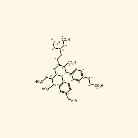 CCCOc1ccc(CC(CN(CCN(CC(=O)O)CC(=O)O)C(Cc2ccc(OCC(=O)O)cc2)C(=O)O)N(CC(=O)O)CC(=O)O)cc1